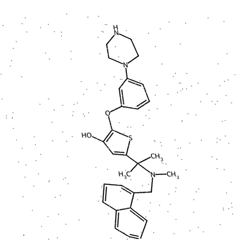 CN(Cc1cccc2ccccc12)C(C)(C)c1cc(O)c(Oc2cccc(N3CCNCC3)c2)s1